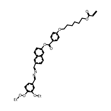 C=CC(=O)OCCCCCCOc1ccc(C(=O)Oc2ccc3cc(/C=N/N=C/c4ccc(OOCC)c(OCC)c4)ccc3c2)cc1